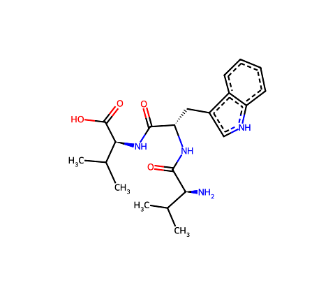 CC(C)[C@H](N)C(=O)N[C@@H](Cc1c[nH]c2ccccc12)C(=O)N[C@H](C(=O)O)C(C)C